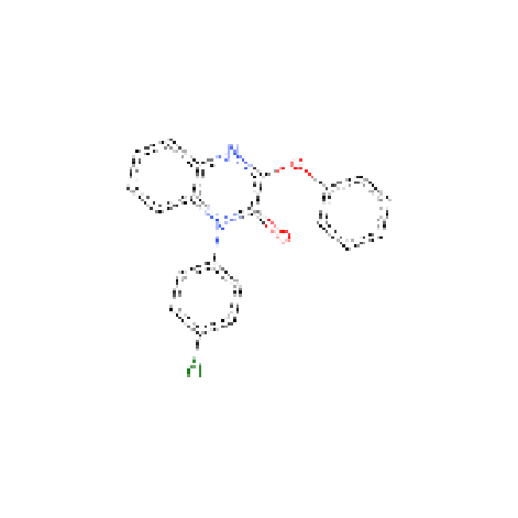 O=c1c(Oc2ccccc2)nc2ccccc2n1-c1ccc(Cl)cc1